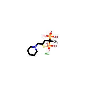 CC(CC(S)CN1CCCCC1)(P(=O)(O)O)P(=O)(O)O.Cl